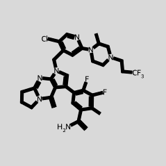 C=C(N)c1cc(-c2cn(Cc3cc(N4CCN(CCC(F)(F)F)CC4C)ncc3Cl)c3c2C(=C)N2CCCC2=N3)c(F)c(F)c1C